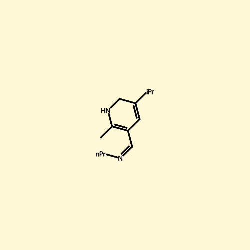 CCC/N=C\C1=C(C)NCC(C(C)C)=C1